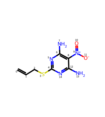 C=CCSc1nc(N)c([N+](=O)[O-])c(N)n1